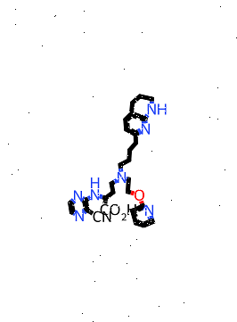 N#Cc1nccnc1NC(CCN(CCCCc1ccc2c(n1)NCCC2)CCOc1ccccn1)C(=O)O